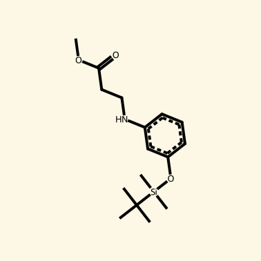 COC(=O)CCNc1cccc(O[Si](C)(C)C(C)(C)C)c1